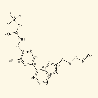 CC(C)(C)OC(=O)NCc1ccc(-c2ncnn3cc(CCCC=O)cc23)cc1F